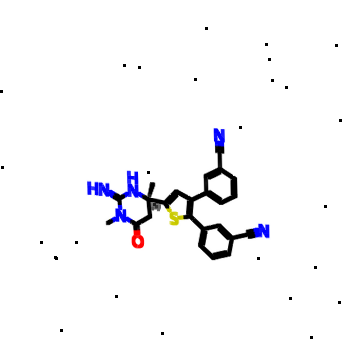 CN1C(=N)N[C@](C)(c2cc(-c3cccc(C#N)c3)c(-c3cccc(C#N)c3)s2)CC1=O